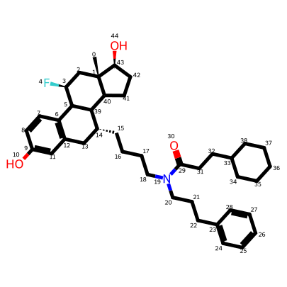 C[C@]12C[C@H](F)C3c4ccc(O)cc4C[C@@H](CCCCN(CCCc4ccccc4)C(=O)CCC4CCCCC4)C3C1CC[C@@H]2O